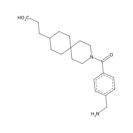 NCc1ccc(C(=O)N2CCC3(CCC(CCC(=O)O)CC3)CC2)cc1